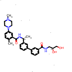 Cc1ccc(N2CCN(C)CC2)cc1C(=O)N[C@H](C)c1cccc(-c2cccc(C(=O)NC[C@H](O)CO)c2)c1